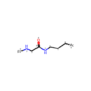 CCNCC(=O)NCCCC(C)=O